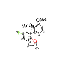 COc1cccc(-c2cc(F)cc3c2OC(C)C3)c1OC